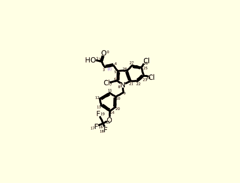 O=C(O)/C=C/c1c(Cl)n(Cc2cccc(OC(F)(F)F)c2)c2cc(Cl)c(Cl)cc12